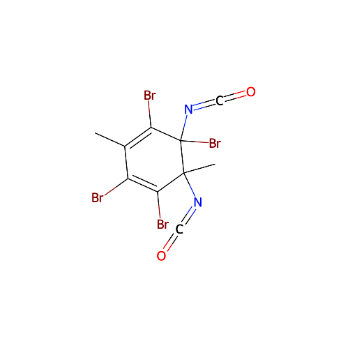 CC1=C(Br)C(Br)(N=C=O)C(C)(N=C=O)C(Br)=C1Br